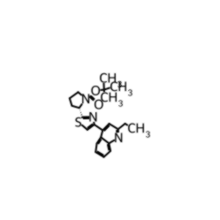 CCc1cc(-c2csc([C@@H]3CCCN3C(=O)OC(C)(C)C)n2)c2ccccc2n1